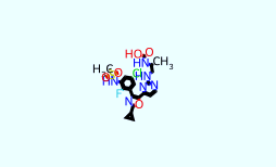 CC(CNc1nccc(-c2oc(C3CC3)nc2-c2cc(Cl)cc(NS(C)(=O)=O)c2F)n1)NC(=O)O